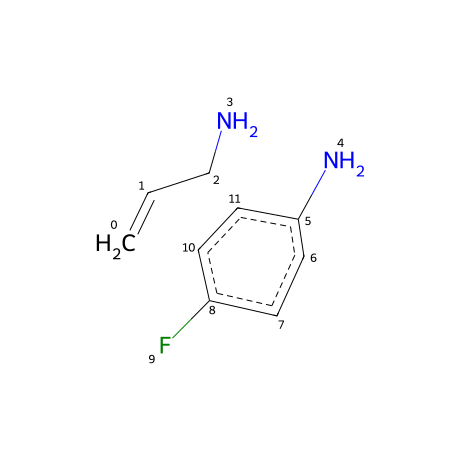 C=CCN.Nc1ccc(F)cc1